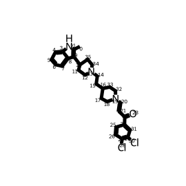 Cc1[nH]c2ccccc2c1C1CCN(CCC2CCN(/C=C/C(=O)c3ccc(Cl)c(Cl)c3)CC2)CC1